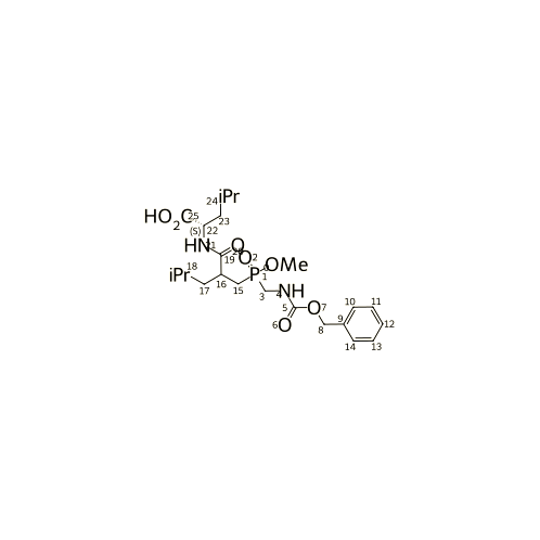 COP(=O)(CNC(=O)OCc1ccccc1)CC(CC(C)C)C(=O)N[C@@H](CC(C)C)C(=O)O